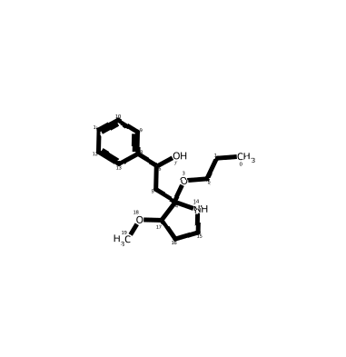 CCCOC1(CC(O)c2ccccc2)NCCC1OC